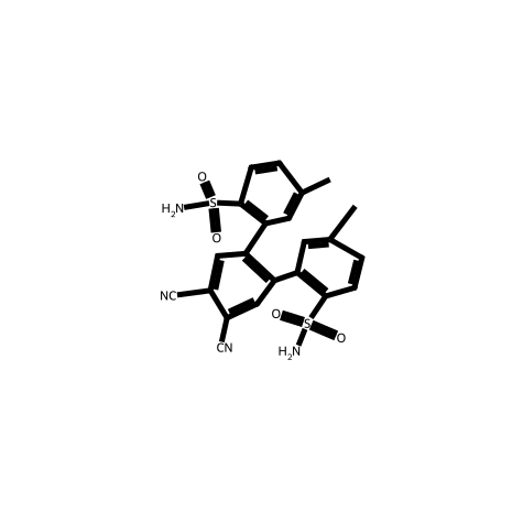 Cc1ccc(S(N)(=O)=O)c(-c2cc(C#N)c(C#N)cc2-c2cc(C)ccc2S(N)(=O)=O)c1